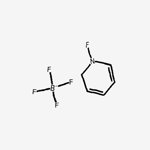 FN1C=CC=CC1.F[B-](F)(F)F